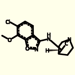 COc1c(Cl)ccc2c(N[C@H]3CN4CCC3CC4)noc12